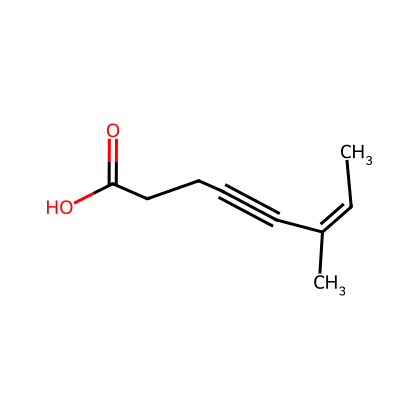 CC=C(C)C#CCCC(=O)O